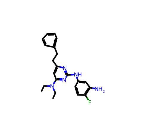 CCN(CC)c1cc(CCc2ccccc2)nc(Nc2ccc(F)c(N)c2)n1